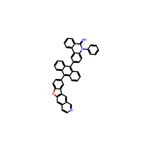 N=c1c2ccccc2c2cc(-c3c4ccccc4c(-c4ccc5oc6cc7ccncc7cc6c5c4)c4ccccc34)ccc2n1-c1ccccc1